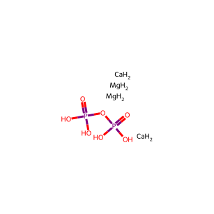 O=P(O)(O)OP(=O)(O)O.[CaH2].[CaH2].[MgH2].[MgH2]